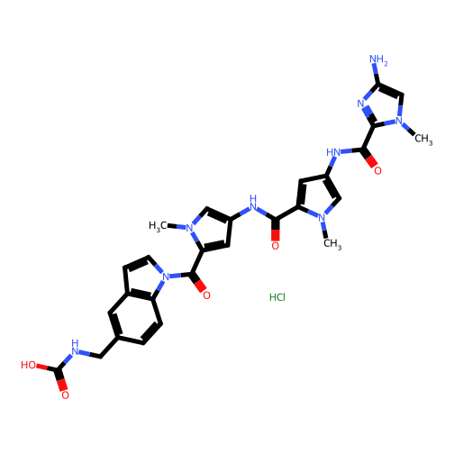 Cl.Cn1cc(NC(=O)c2nc(N)cn2C)cc1C(=O)Nc1cc(C(=O)n2ccc3cc(CNC(=O)O)ccc32)n(C)c1